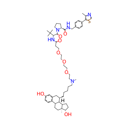 Cc1ncsc1-c1ccc(CNC(=O)[C@@H]2CCCN2C(=O)C(NC(=O)CCOCCOCCOCCN(C)CCCCC[C@@H]2Cc3cc(O)ccc3C3CC[C@@]4(C)C(CC[C@@H]4O)[C@@H]32)C(C)(C)C)cc1